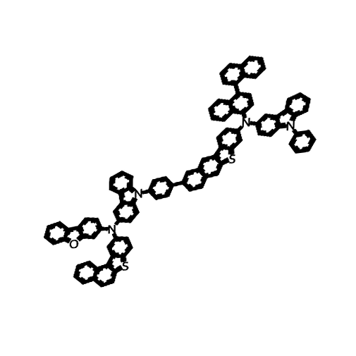 c1ccc(-n2c3ccccc3c3cc(N(c4ccc5c(c4)sc4cc6ccc(-c7ccc(-n8c9ccccc9c9cc(N(c%10ccc%11c(c%10)oc%10ccccc%10%11)c%10ccc%11sc%12ccc%13ccccc%13c%12c%11c%10)ccc98)cc7)cc6cc45)c4ccc(-c5cccc6ccccc56)c5ccccc45)ccc32)cc1